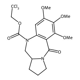 COc1cc2c(c(OC)c1OC)C(=O)N1CCCC1CN2C(=O)OCC(Cl)(Cl)Cl